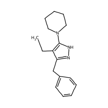 CCc1c(Cc2ccccc2)n[nH]c1N1CCCCC1